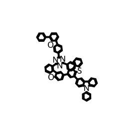 c1ccc(-c2nc(-c3ccc4c(c3)oc3c(-c5ccccc5)cccc34)nc(-c3cccc4oc5ccc(-c6cc(-c7ccc8c(c7)c7ccccc7n8-c7ccccc7)c7sc8ccccc8c7c6)cc5c34)n2)cc1